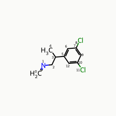 C=NCC(C)c1cc(Cl)cc(Cl)c1